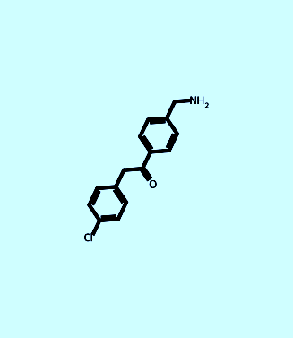 NCc1ccc(C(=O)Cc2ccc(Cl)cc2)cc1